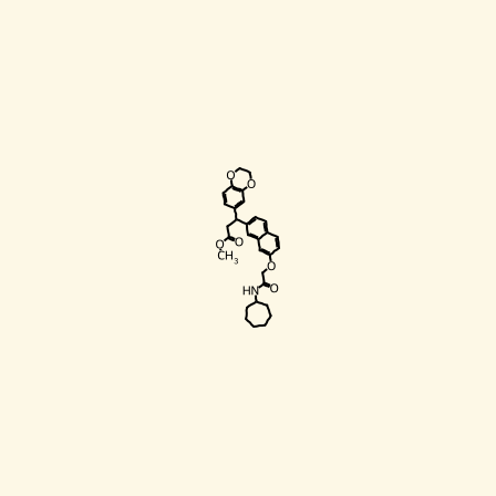 COC(=O)CC(c1ccc2c(c1)OCCO2)c1ccc2ccc(OCC(=O)NC3CCCCCC3)cc2c1